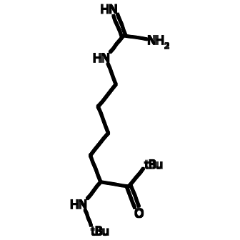 CC(C)(C)NC(CCCCNC(=N)N)C(=O)C(C)(C)C